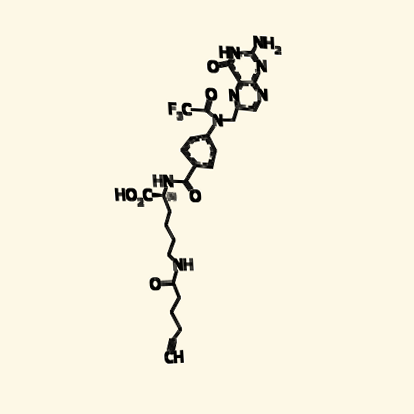 C#CCCCC(=O)NCCCC[C@H](NC(=O)c1ccc(N(Cc2cnc3nc(N)[nH]c(=O)c3n2)C(=O)C(F)(F)F)cc1)C(=O)O